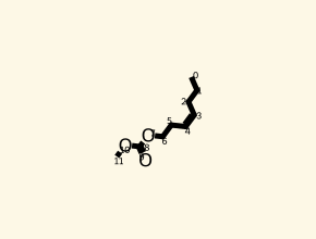 CCC/C=C\CCOC(=O)OC